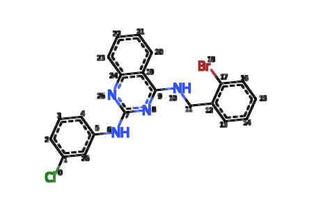 Clc1cccc(Nc2nc(NCc3ccccc3Br)c3ccccc3n2)c1